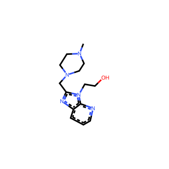 CN1CCN(Cc2nc3cccnc3n2CCO)CC1